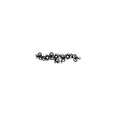 C=CC(=O)OCOc1ccc(C(=O)OCCc2ccc(OC(=O)c3ccc(OCOC(=O)C=C)cc3)c(C=N)c2)cc1